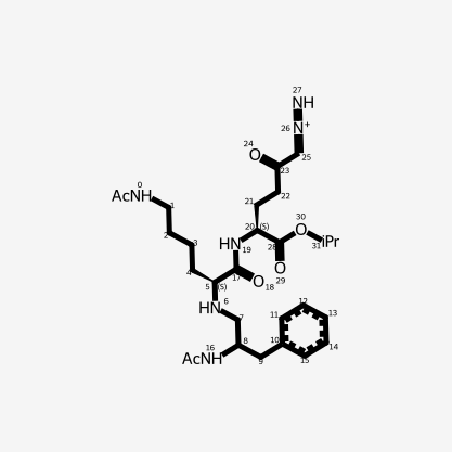 CC(=O)NCCCC[C@H](NCC(Cc1ccccc1)NC(C)=O)C(=O)N[C@@H](CCC(=O)C=[N+]=N)C(=O)OC(C)C